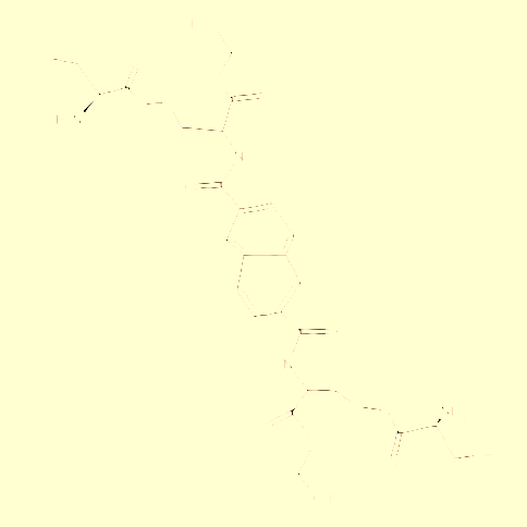 CCOC(=O)C(CSSC(=O)[C@@H](N)CS)NC(=O)c1ccc2cc(C(=O)NC(CSSC(=O)[C@@H](N)CS)C(=O)OCC)ccc2c1